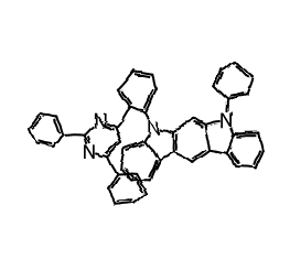 c1ccc(-c2cc(-c3ccccc3-n3c4ccccc4c4cc5c6ccccc6n(-c6ccccc6)c5cc43)nc(-c3ccccc3)n2)cc1